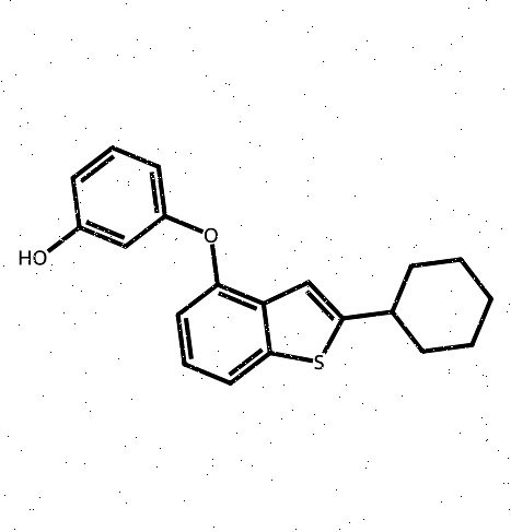 Oc1cccc(Oc2cccc3sc(C4CCCCC4)cc23)c1